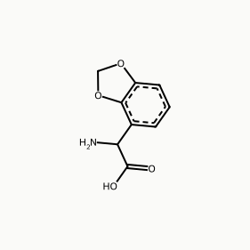 NC(C(=O)O)c1cccc2c1OCO2